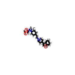 CC(=O)N(C1=COCO1)C1CCC(CCN2CCC(c3coc4ccccc34)CC2)CC1